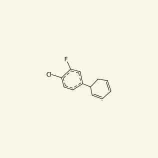 Fc1cc(C2C=[C]C=CC2)ccc1Cl